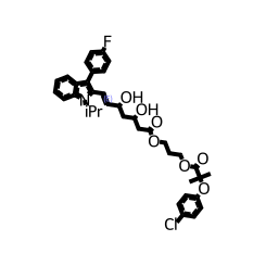 CC(C)n1c(/C=C/C(O)CC(O)CC(=O)OCCCOC(=O)C(C)(C)Oc2ccc(Cl)cc2)c(-c2ccc(F)cc2)c2ccccc21